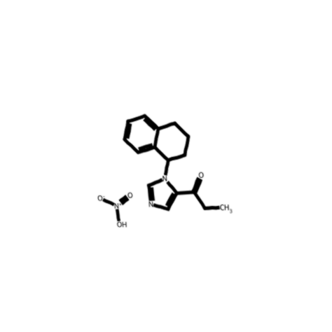 CCC(=O)c1cncn1C1CCCc2ccccc21.O=[N+]([O-])O